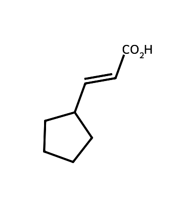 O=C(O)C=CC1CCCC1